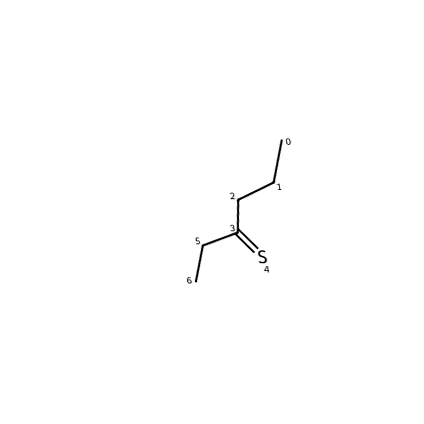 CCCC(=S)CC